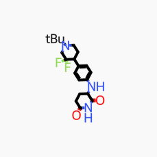 CC(C)(C)N1CCC(c2ccc(NC3CCC(=O)NC3=O)cc2)C(F)(F)C1